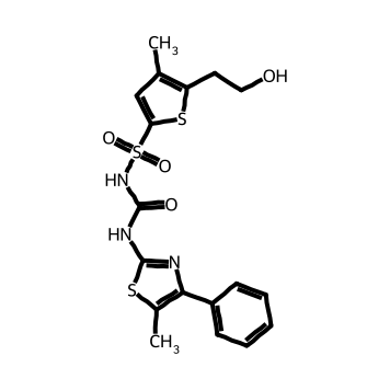 Cc1cc(S(=O)(=O)NC(=O)Nc2nc(-c3ccccc3)c(C)s2)sc1CCO